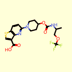 CC(COC(F)(F)F)NC(=O)OC1CCN(c2ccc3scc(C(=O)O)c3n2)CC1